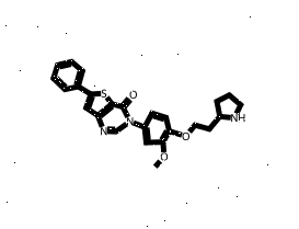 COc1cc(-n2cnc3cc(-c4ccccc4)sc3c2=O)ccc1OCCC1CCCN1